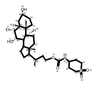 CC[C@H]1[C@@H](O)C2C3CCC([C@H](C)CCOC(=O)NC4CCS(=O)(=O)CC4)[C@@]3(C)CC[C@@H]2[C@@]2(C)CC[C@@H](O)C[C@@H]12